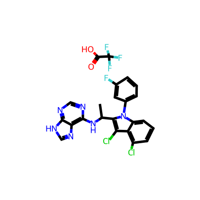 CC(Nc1ncnc2[nH]cnc12)c1c(Cl)c2c(Cl)cccc2n1-c1cccc(F)c1.O=C(O)C(F)(F)F